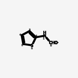 O=[C]Nc1cccs1